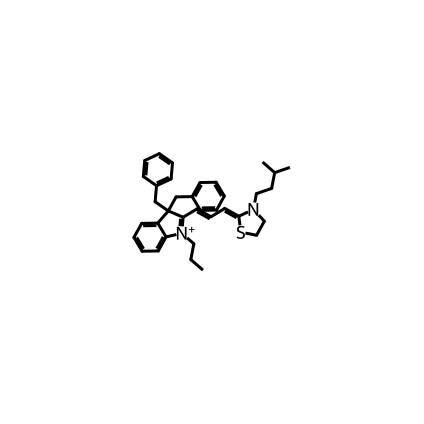 CCC[N+]1=C(/C=C/C=C2\SCCN2CCC(C)C)C(Cc2ccccc2)(Cc2ccccc2)c2ccccc21